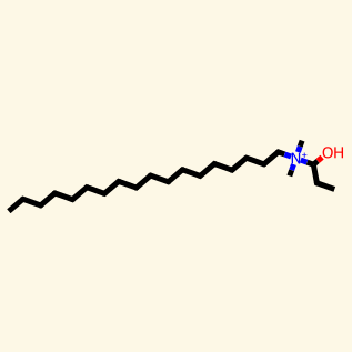 CCCCCCCCCCCCCCCCCC[N+](C)(C)C(O)CC